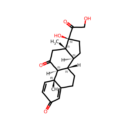 C[C@]12C=CC(=O)C=C1CC[C@@H]1[C@@H]2C(=O)C[C@@]2(C)[C@H]1CC[C@@]2(O)C(=O)CO